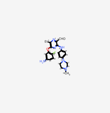 CCc1nc(C=O)c(Nc2ccc(N3CCN(C)CC3)cc2)nc1Oc1cc(N)ccc1F